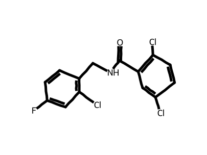 O=C(NCc1ccc(F)cc1Cl)c1cc(Cl)ccc1Cl